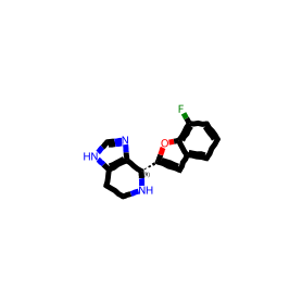 Fc1cccc2cc([C@@H]3NCCc4[nH]cnc43)oc12